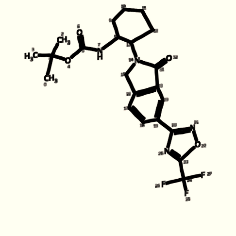 CC(C)(C)OC(=O)NC1CCCCC1N1Cc2ccc(-c3noc(C(F)(F)F)n3)cc2C1=O